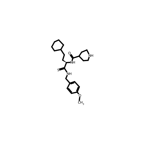 COc1ccc(CNC(=S)[C@@H](CCC2CCCCC2)NC(=O)C2CCNCC2)cc1